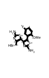 Br.COc1ccc(F)cc1-c1sc(N)nc1-c1sc(N)nc1C